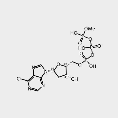 COP(=O)(O)OP(=O)(O)OP(=O)(O)OC[C@H]1O[C@@H](n2cnc3c(Cl)ncnc32)C[C@H]1O